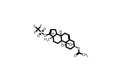 CC(=O)O[C@H]1CC[C@@]2(C)C(=CC[C@H]3[C@@H]4CC=C(OS(=O)(=O)C(F)(F)F)[C@@]4(C)CC[C@@]32C)C1